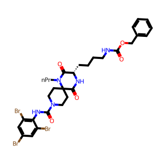 CCCN1C(=O)[C@H](CCCCNC(=O)OCc2ccccc2)NC(=O)C12CCN(C(=O)Nc1c(Br)cc(Br)cc1Br)CC2